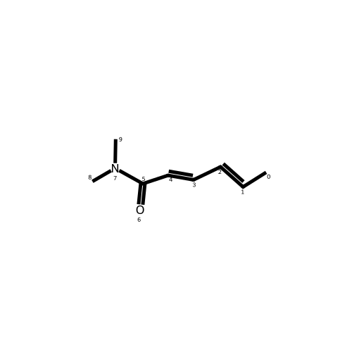 CC=CC=CC(=O)N(C)C